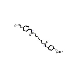 CCCCCCOc1ccc(/C=[N+](\[O-])CCCCCC/[N+]([O-])=C/c2ccc(OCCCCCC)cc2)cc1